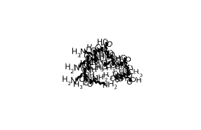 C[C@H](NC(=O)[C@H](CCC(=O)O)NC(=O)[C@H](C)NC(=O)[C@H](CCC(=O)O)NC(=O)[C@H](C)NC(=O)[C@H](CCC(=O)O)NC(=O)[C@H](C)NC(=O)[C@H](CCC(=O)O)NC(=O)[C@H](C)NC(=O)[C@H](CCCCN)NC(=O)[C@H](C)NC(=O)[C@H](CCCCN)NC(=O)[C@H](C)NC(=O)[C@H](CCCCN)NC(=O)[C@H](C)NC(=O)[C@@H](N)CCCCN)C(=O)O